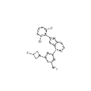 Nc1cc(N2CC(F)C2)nc(-c2nccc3nn(-c4c(Cl)cccc4Cl)cc23)n1